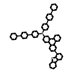 c1ccc(-c2ccc(-c3ccc(N(c4ccc(-c5ccc(-c6ccccc6)cc5)cc4)c4ccc5c6ccc(-c7cccc8c7oc7ccccc78)cc6c6ccccc6c5c4)cc3)cc2)cc1